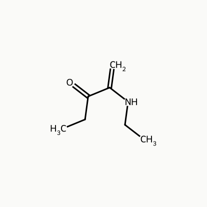 C=C(NCC)C(=O)CC